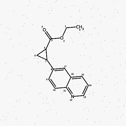 CCOC(=O)C1CC1c1ccc2ncccc2c1